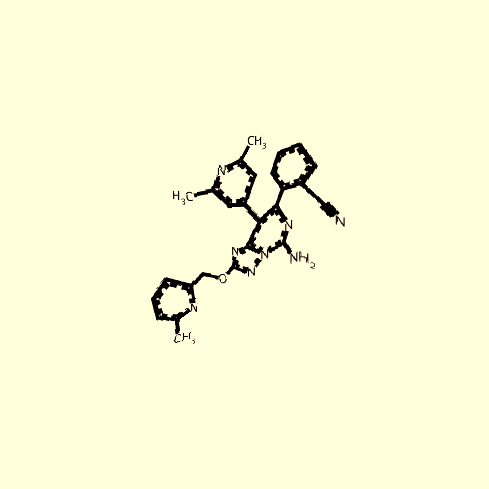 Cc1cc(-c2c(-c3ccccc3C#N)nc(N)n3nc(OCc4cccc(C)n4)nc23)cc(C)n1